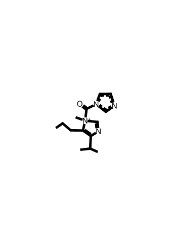 CCCC1=C(C(C)C)N=C[N+]1(C)C(=O)n1ccnc1